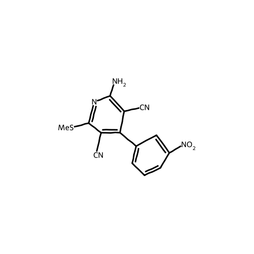 CSc1nc(N)c(C#N)c(-c2cccc([N+](=O)[O-])c2)c1C#N